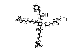 CCNC(=O)CCC/C=C\C[C@@H]1[C@@H](/C=C/[C@@H](O)CCc2ccccc2)[C@H](OCCCCCCO[N+](=O)[O-])C[C@@H]1OC(=O)CCCCCO[N+](=O)[O-]